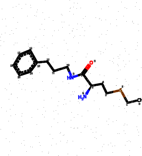 CCSCC[C@@H](N)C(=O)NCCCc1ccccc1